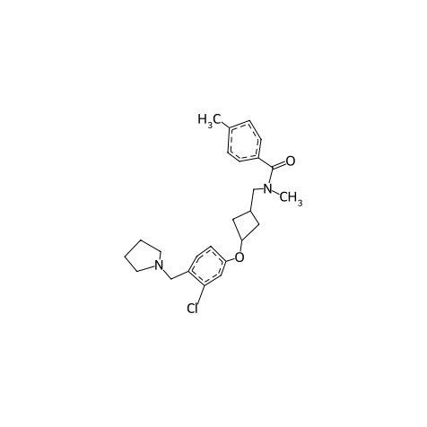 Cc1ccc(C(=O)N(C)CC2CC(Oc3ccc(CN4CCCC4)c(Cl)c3)C2)cc1